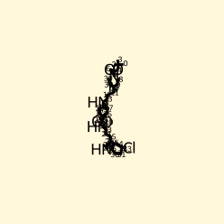 CC(C)(C)OC(=O)N1CCN(CCCNc2ccc(S(=O)(=O)NCCCc3c[nH]c4ccc(Cl)cc34)cc2)CC1